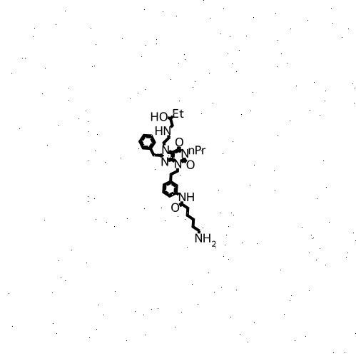 CCCn1c(=O)c2c(nc(Cc3ccccc3)n2CCNCC(O)CC)n(CCc2cccc(NC(=O)CCCCCN)c2)c1=O